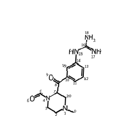 CN1CCN([C]=O)C(C(=O)c2cccc(NC(=N)N)c2)C1